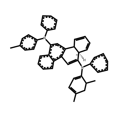 CC1=CC=C(N(C2=Cc3c(cc(N(c4ccccc4)c4ccc(C)cc4)c4ccccc34)C3C=CC=C[C@@H]23)c2ccccc2)C(C)C1